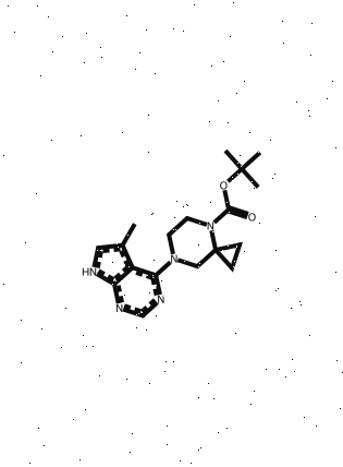 Cc1c[nH]c2ncnc(N3CCN(C(=O)OC(C)(C)C)C4(CC4)C3)c12